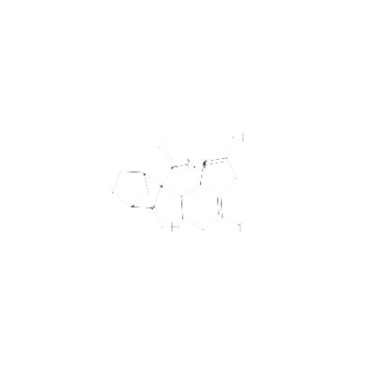 C=C1C2CCC(C2)C1(C([NH])=O)c1ccc(F)c2c1C=C(C)C2